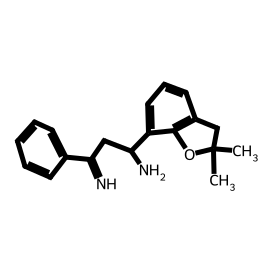 CC1(C)Cc2cccc(C(N)CC(=N)c3ccccc3)c2O1